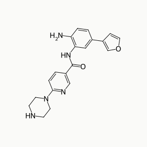 Nc1ccc(-c2ccoc2)cc1NC(=O)c1ccc(N2CCNCC2)nc1